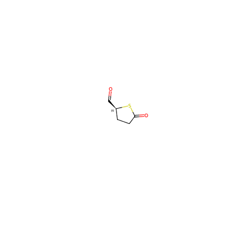 O=C[C@@H]1CCC(=O)S1